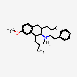 CCCC1Cc2ccc(OC)cc2C(CCC)C1N(C)CCc1ccccc1